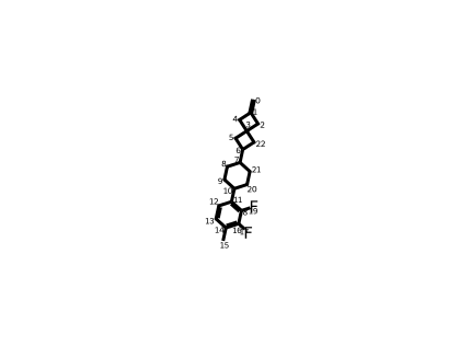 C=C1CC2(C1)CC(C1CCC(c3ccc(C)c(F)c3F)CC1)C2